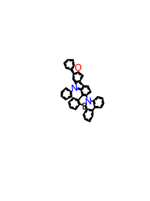 c1ccc(-n2c3cc4c(cc3c3ccc5c(c32)-c2ccccc2B2c3ccccc3-c3ccccc3N25)oc2ccccc24)cc1